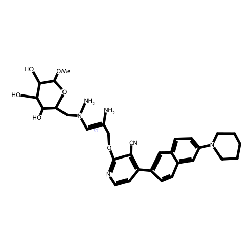 COC1OC(CN(N)/C=C(\N)COc2nccc(-c3ccc4cc(N5CCCCC5)ccc4c3)c2C#N)C(O)C(O)C1O